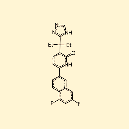 CCC(CC)(c1nnc[nH]1)c1ccc(-c2ccc3c(F)cc(F)cc3c2)[nH]c1=O